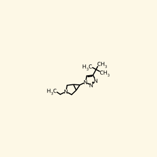 CCN1CC2C(C1)C2n1cc(C(C)(C)C)nn1